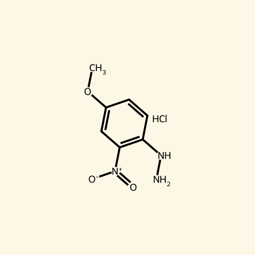 COc1ccc(NN)c([N+](=O)[O-])c1.Cl